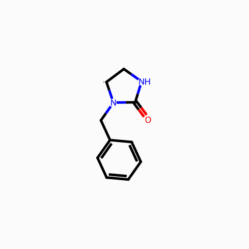 O=C1NC[CH]N1Cc1ccccc1